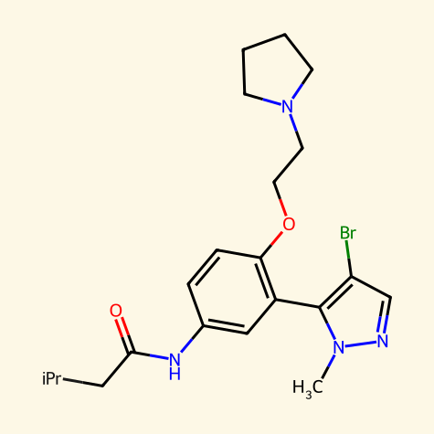 CC(C)CC(=O)Nc1ccc(OCCN2CCCC2)c(-c2c(Br)cnn2C)c1